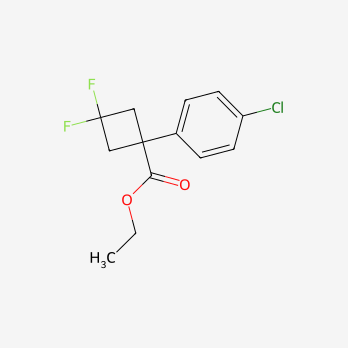 CCOC(=O)C1(c2ccc(Cl)cc2)CC(F)(F)C1